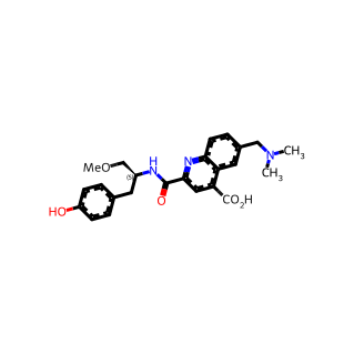 COC[C@H](Cc1ccc(O)cc1)NC(=O)c1cc(C(=O)O)c2cc(CN(C)C)ccc2n1